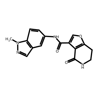 Cn1ncc2cc(NC(=O)c3coc4c3C(=O)NCC4)ccc21